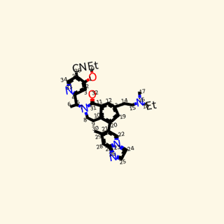 CCOc1cc(C(C)N2CCc3c(cc(CCN(C)CC)cc3-c3cn4ccnc4cc3C)C2=O)ncc1C#N